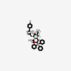 CCCC[C@@H](C(=O)C(C#N)=P(c1ccccc1)(c1ccccc1)c1ccccc1)N(C(=O)O)[C@@H](Cc1nnc(-c2ccc(F)cc2)o1)C(C)(C)C